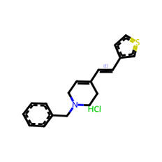 C1=C(/C=C/c2ccsc2)CCN(Cc2ccccc2)C1.Cl